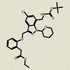 CCOC(=O)Cc1ccccc1OCc1nn(C2CCCCO2)c2c(CNC(=O)OC(C)(C)C)cc(Cl)cc12